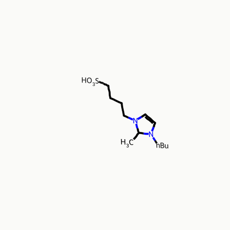 CCCCN1C=CN(CCCCS(=O)(=O)O)C1C